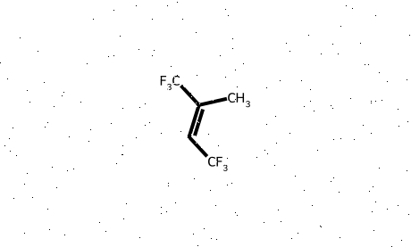 C/C(=C\C(F)(F)F)C(F)(F)F